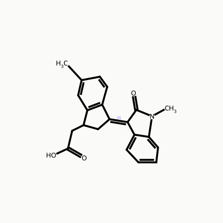 Cc1ccc2c(c1)C(CC(=O)O)C/C2=C1/C(=O)N(C)c2ccccc21